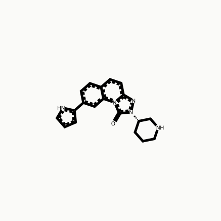 O=c1n([C@H]2CCCNC2)nc2ccc3ccc(-c4ccc[nH]4)cc3n12